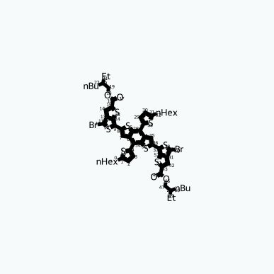 CCCCCCc1ccc(-c2c3cc(-c4sc(Br)c5cc(C(=O)OCC(CC)CCCC)sc45)sc3c(-c3ccc(CCCCCC)s3)c3cc(-c4sc(Br)c5cc(C(=O)OCC(CC)CCCC)sc45)sc23)s1